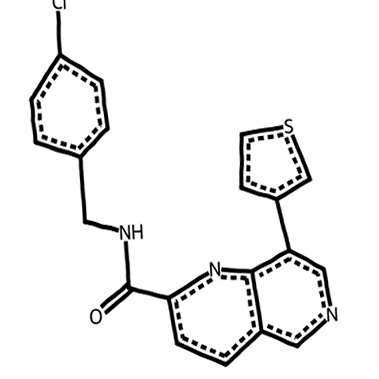 O=C(NCc1ccc(Cl)cc1)c1ccc2cncc(-c3ccsc3)c2n1